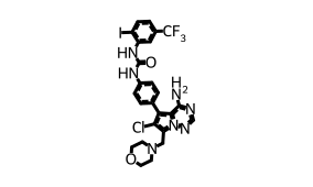 Nc1ncnn2c(CN3CCOCC3)c(Cl)c(-c3ccc(NC(=O)Nc4cc(C(F)(F)F)ccc4I)cc3)c12